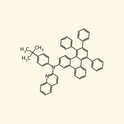 CC(C)(C)c1ccc(N(c2ccc3c(c2)c2ccccc2c2c(-c4ccccc4)cc(-c4ccccc4)c(-c4ccccc4)c32)c2ccc3ccccc3n2)cc1